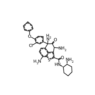 Nc1ccc2c3c(c(C(=O)N[C@@H]4CCCC[C@@H]4N)sc13)C(N)C(=O)C2(N)c1ccc(Oc2ccccc2)c(Cl)c1